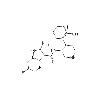 NC1NN2CC(F)CNC2C1C(=O)NC1CNCCC1C1=C(O)NCCC1